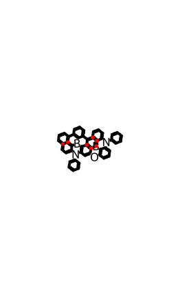 c1ccc(-c2cccc(-c3ccccc3)c2B2c3ccccc3N(c3ccccc3)c3cc4c(cc32)B2c3ccccc3N(c3ccccc3)c3cccc(c32)O4)cc1